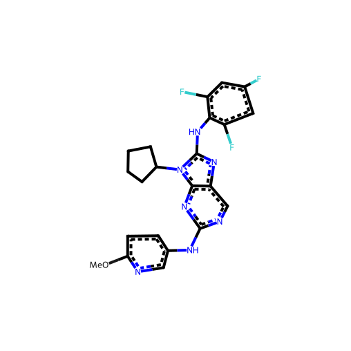 COc1ccc(Nc2ncc3nc(Nc4c(F)cc(F)cc4F)n(C4CCCC4)c3n2)cn1